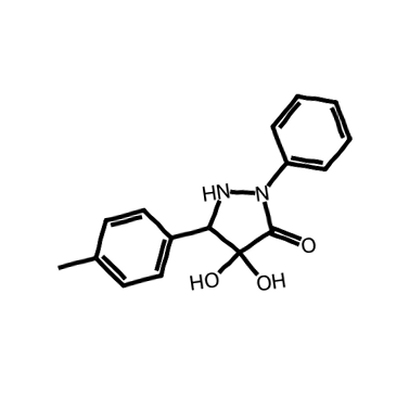 Cc1ccc(C2NN(c3ccccc3)C(=O)C2(O)O)cc1